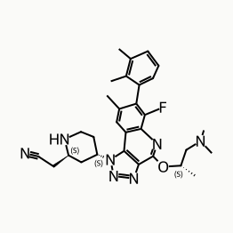 Cc1cccc(-c2c(C)cc3c(nc(O[C@@H](C)CN(C)C)c4nnn([C@H]5CCN[C@H](CC#N)C5)c43)c2F)c1C